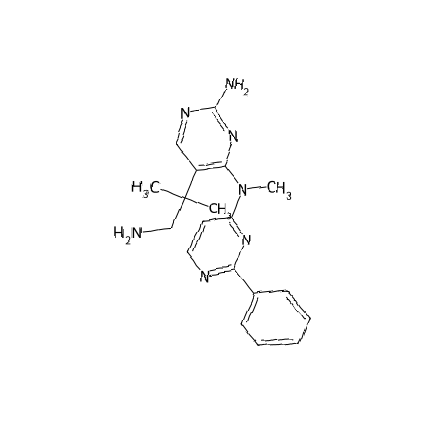 CN(c1ccnc(-c2ccccc2)n1)c1nc(N)ncc1C(C)(C)CN